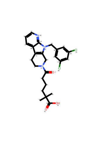 CC(C)(CCCC(=O)N1CCc2c(n(Cc3cc(Cl)cc(Cl)c3)c3ncccc23)C1)C(=O)O